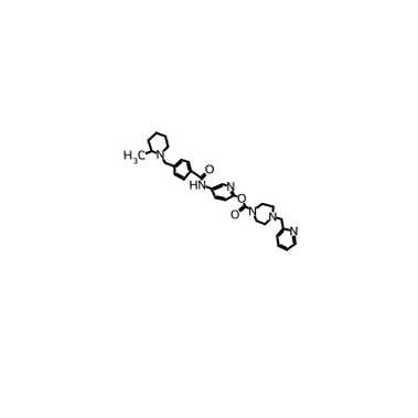 CC1CCCCN1Cc1ccc(C(=O)Nc2ccc(OC(=O)N3CCN(Cc4ccccn4)CC3)nc2)cc1